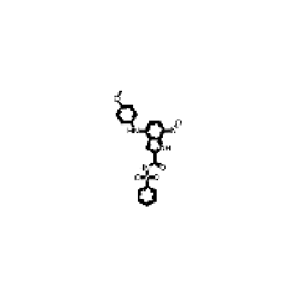 COc1ccc(Nc2ccc(N=O)c3[nH]c(C(=O)NS(=O)(=O)c4ccccc4)cc23)cc1